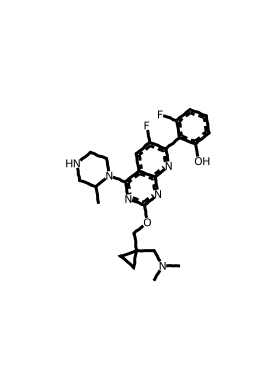 CC1CNCCN1c1nc(OCC2(CN(C)C)CC2)nc2nc(-c3c(O)cccc3F)c(F)cc12